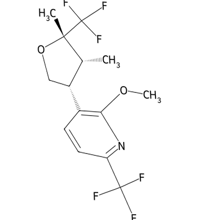 COc1nc(C(F)(F)F)ccc1[C@@H]1CO[C@](C)(C(F)(F)F)[C@@H]1C